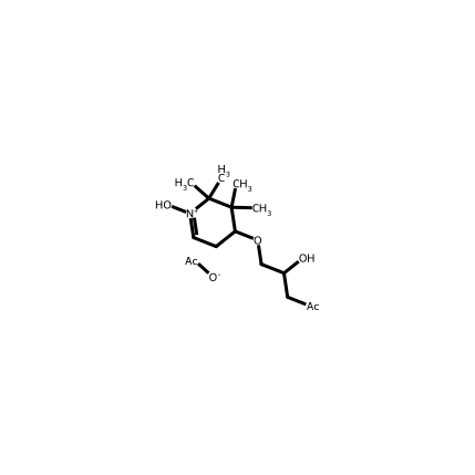 CC(=O)CC(O)COC1CC=[N+](O)C(C)(C)C1(C)C.CC(=O)[O-]